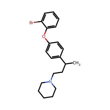 CC(CCN1CCCCC1)c1ccc(Oc2ccccc2Br)cc1